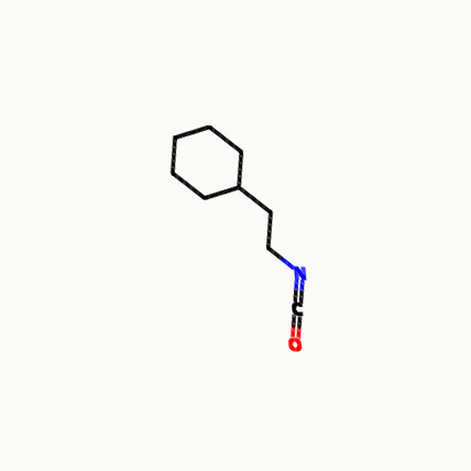 O=C=NCCC1CCCCC1